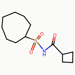 O=C(NS(=O)(=O)C1CCCCCCC1)C1CCC1